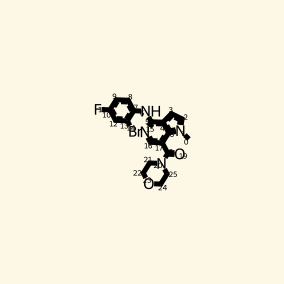 Cn1ccc2c(Nc3ccc(F)cc3Br)ncc(C(=O)N3CCOCC3)c21